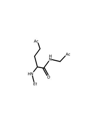 CCNC(CCC(C)=O)C(=O)NCC(C)=O